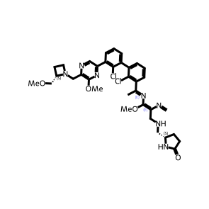 C=N/C(CNC[C@@H]1CCC(=O)N1)=C(\N=C(/C)c1cccc(-c2cccc(-c3cnc(CN4CC[C@H]4COC)c(OC)n3)c2Cl)c1Cl)OC